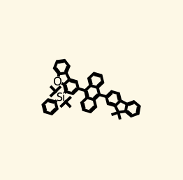 CC1(C)c2ccccc2-c2ccc(-c3c4ccccc4c(-c4cc([Si](c5ccccc5)(C(C)(C)C)C(C)(C)C)c5oc6ccccc6c5c4)c4ccccc34)cc21